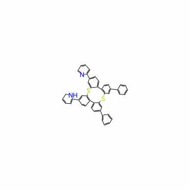 C1=CCNC(c2ccc3c(c2)Sc2cc(-c4ccccn4)ccc2-c2ccc(-c4ccccc4)cc2Sc2cc(-c4ccccc4)ccc2-3)=C1